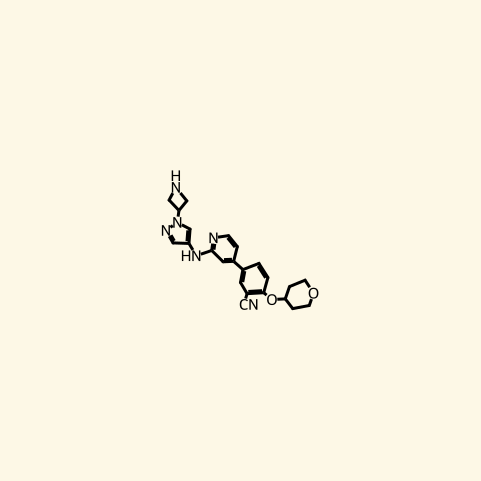 N#Cc1cc(-c2ccnc(Nc3cnn(C4CNC4)c3)c2)ccc1OC1CCOCC1